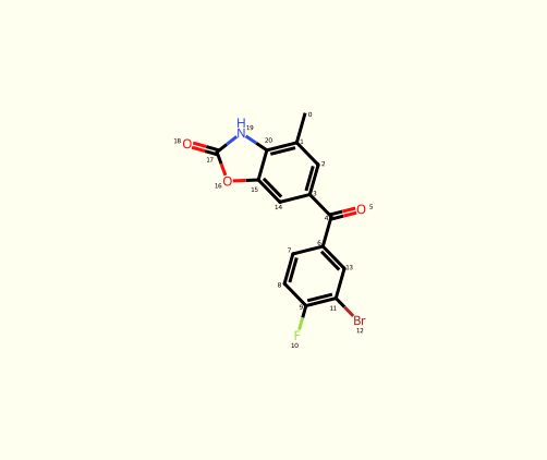 Cc1cc(C(=O)c2ccc(F)c(Br)c2)cc2oc(=O)[nH]c12